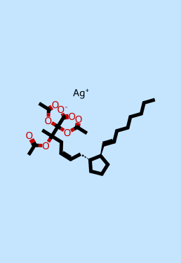 CCCCCC/C=C/[C@H]1CCC[C@@H]1C/C=C\CC(C)(OC(C)=O)C(OC(C)=O)(OC(C)=O)C(=O)[O-].[Ag+]